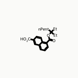 CCCCCC(CC)(CC)OC(=O)c1cccc2cc(C(=O)O)ccc12